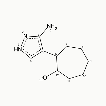 Nc1n[nH]cc1C1CCCCCC1[O]